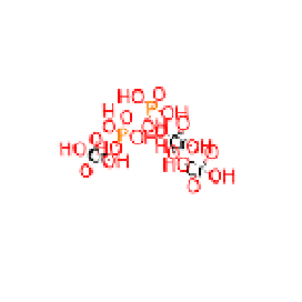 O=P(O)(O)O.O=P(O)(O)O.[O]=[Cr](=[O])([OH])[OH].[O]=[Cr](=[O])([OH])[OH].[O]=[Cr](=[O])([OH])[OH]